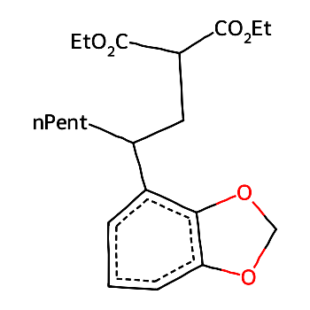 CCCCCC(CC(C(=O)OCC)C(=O)OCC)c1cccc2c1OCO2